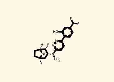 CN(c1ccc(-c2ccc(C(F)F)cc2O)nn1)[C@@H]1C[C@H]2CC[C@H](N2)[C@@H]1F